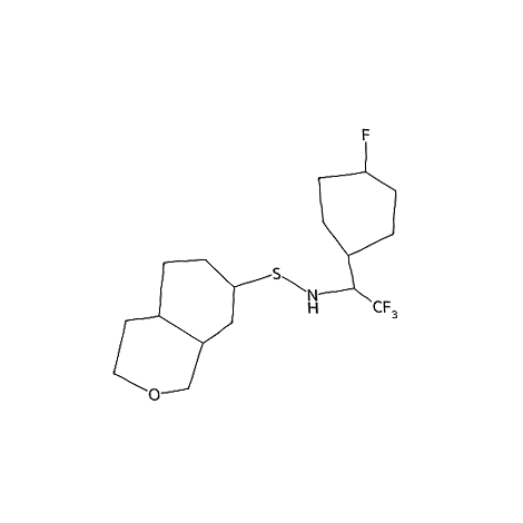 FC1CCC(C(NSC2CCC3CCOCC3C2)C(F)(F)F)CC1